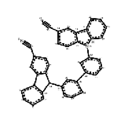 N#Cc1ccc2c(c1)-c1ccccc1C2c1cccc(-c2cccc(-n3c4ccccc4c4cc(C#N)ccc43)c2)c1